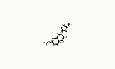 Cc1cc2cc(-c3cnc(Br)s3)ccc2cn1